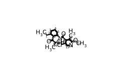 CCc1cccc(NC(=O)c2c(Cl)cnc(OC)c2C)c1C(=O)C(C)C